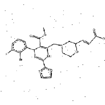 COC(=O)C1=C(CN2CCOC(/C=C/C(=O)O)C2)NC(c2nccs2)=NC1c1cccc(F)c1Br